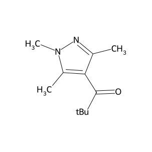 Cc1nn(C)c(C)c1C(=O)C(C)(C)C